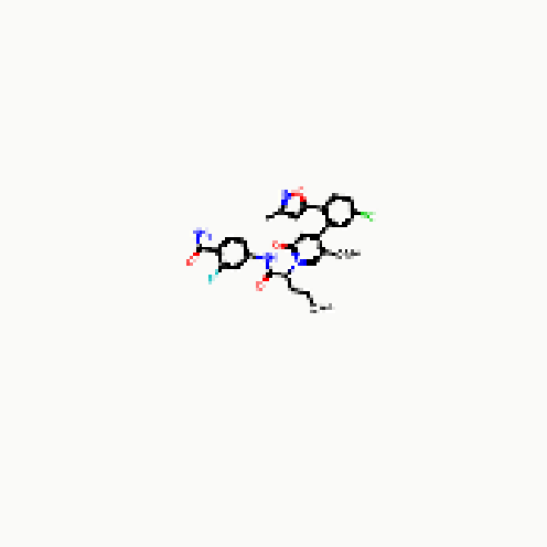 COCCC(C(=O)Nc1ccc(C(N)=O)c(F)c1)n1cc(OC)c(-c2cc(Cl)ccc2-c2cc(C)no2)cc1=O